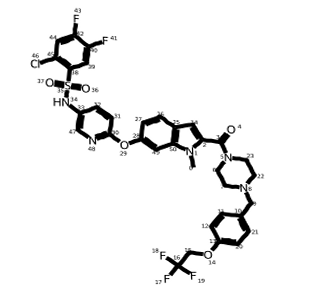 Cn1c(C(=O)N2CCN(Cc3ccc(OCC(F)(F)F)cc3)CC2)cc2ccc(Oc3ccc(NS(=O)(=O)c4cc(F)c(F)cc4Cl)cn3)cc21